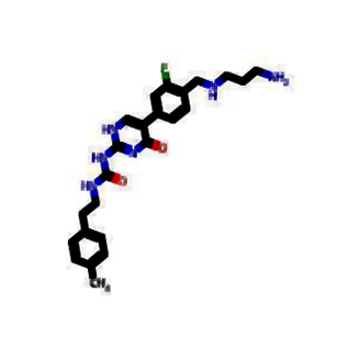 Cc1ccc(CCNC(=O)Nc2nc(=O)c(-c3ccc(CNCCCN)c(F)c3)c[nH]2)cc1